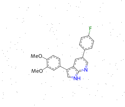 COc1ccc(-c2c[nH]c3ncc(-c4ccc(F)cc4)cc23)cc1OC